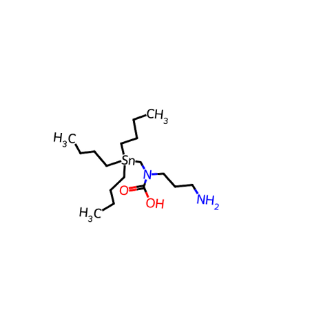 CCC[CH2][Sn]([CH2]CCC)([CH2]CCC)[CH2]N(CCCN)C(=O)O